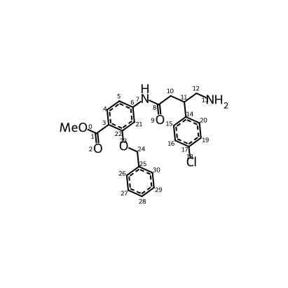 COC(=O)c1ccc(NC(=O)CC(CN)c2ccc(Cl)cc2)cc1OCc1ccccc1